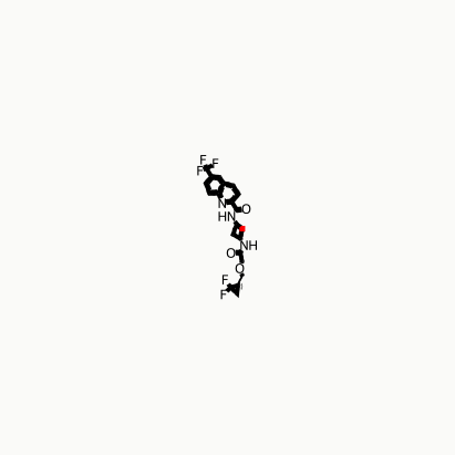 O=C(COC[C@H]1CC1(F)F)NC12CC(NC(=O)c3ccc4cc(C(F)(F)F)ccc4n3)(C1)C2